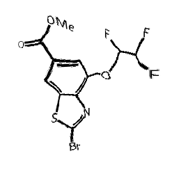 COC(=O)c1cc(OC(F)C(F)F)c2nc(Br)sc2c1